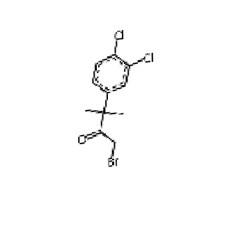 CC(C)(C(=O)CBr)c1ccc(Cl)c(Cl)c1